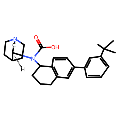 CC(C)(C)c1cccc(-c2ccc3c(c2)CCCC3N(C(=O)O)[C@@H]2CN3CCC2CC3)c1